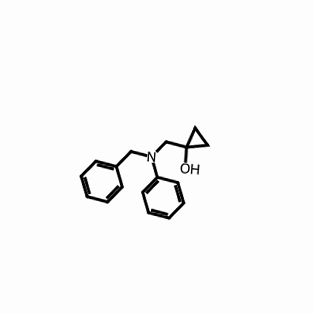 OC1(CN(Cc2ccccc2)c2ccccc2)CC1